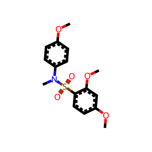 COc1ccc(N(C)S(=O)(=O)c2ccc(OC)cc2OC)cc1